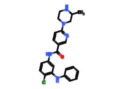 CC1CN(c2ccc(C(=O)Nc3ccc(Cl)c(Nc4ccccc4)c3)cn2)CCN1